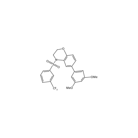 COc1cc(OC)cc(-c2ccc3c(c2)N(S(=O)(=O)c2cccc(C(F)(F)F)c2)CCO3)c1